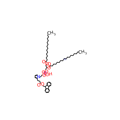 CCCCCCCC/C=C/CCCCCCCC(=O)OC(COC(=O)CCCCCCCCCCCCCCC)COP(=O)(O)OCCn1cccc1CCC(=O)OCC1c2ccccc2-c2ccccc21